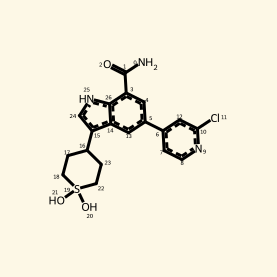 NC(=O)c1cc(-c2ccnc(Cl)c2)cc2c(C3CCS(O)(O)CC3)c[nH]c12